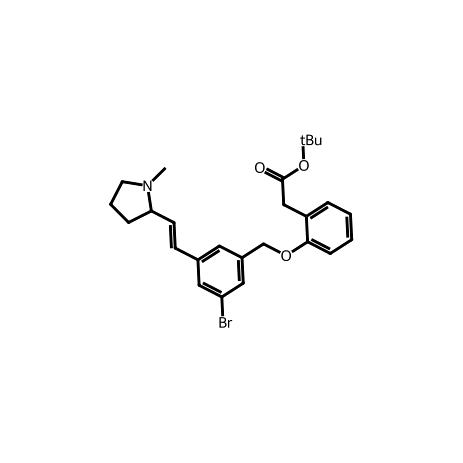 CN1CCCC1C=Cc1cc(Br)cc(COc2ccccc2CC(=O)OC(C)(C)C)c1